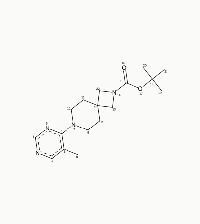 Cc1cncnc1N1CCC2(CC1)CN(C(=O)OC(C)(C)C)C2